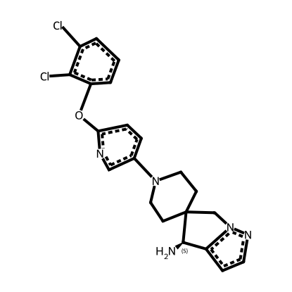 N[C@@H]1c2ccnn2CC12CCN(c1ccc(Oc3cccc(Cl)c3Cl)nc1)CC2